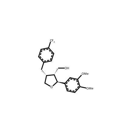 COc1ccc([C@H]2OC[C@H](Cc3ccc(C(F)(F)F)cc3)[C@@H]2CO)cc1OC